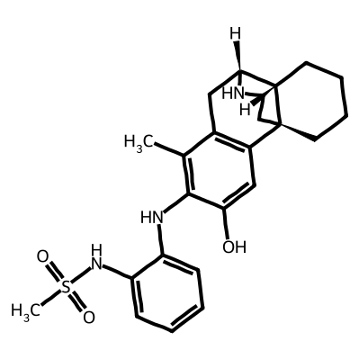 Cc1c2c(cc(O)c1Nc1ccccc1NS(C)(=O)=O)[C@@]13CCCC[C@H]1[C@@H](C2)NCC3